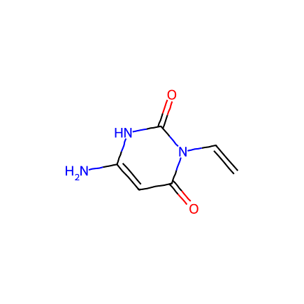 C=Cn1c(=O)cc(N)[nH]c1=O